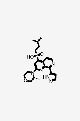 CC(C)CCP(=O)(O)c1cc(N2CCOC[C@H]2C)nc2c(-c3ccn[nH]3)nccc12